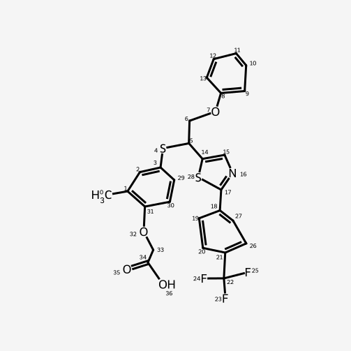 Cc1cc(SC(COc2ccccc2)c2cnc(-c3ccc(C(F)(F)F)cc3)s2)ccc1OCC(=O)O